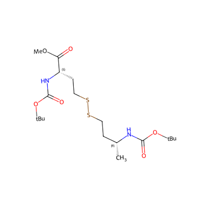 COC(=O)[C@H](CCSSCC[C@@H](C)NC(=O)OC(C)(C)C)NC(=O)OC(C)(C)C